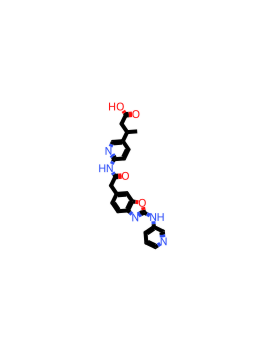 CC(CC(=O)O)c1ccc(NC(=O)Cc2ccc3nc(Nc4cccnc4)oc3c2)nc1